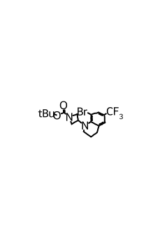 CC(C)(C)OC(=O)N1CC(N2CCCc3cc(C(F)(F)F)cc(Br)c32)C1